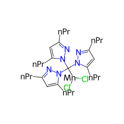 CCCc1cc(CCC)n([C](n2nc(CCC)cc2CCC)(n2nc(CCC)cc2CCC)[Mn]([Cl])[Cl])n1